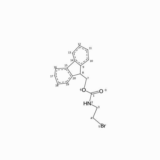 O=C(NCCBr)OCC1c2ccccc2-c2ccccc21